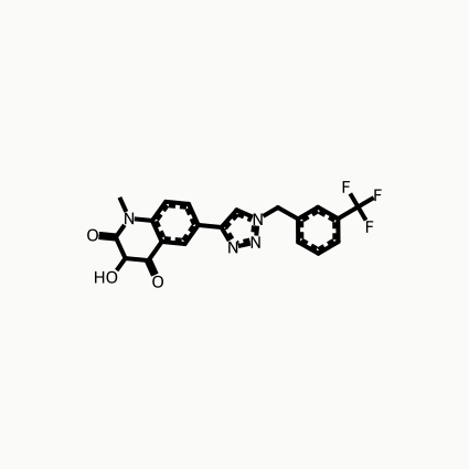 CN1C(=O)C(O)C(=O)c2cc(-c3cn(Cc4cccc(C(F)(F)F)c4)nn3)ccc21